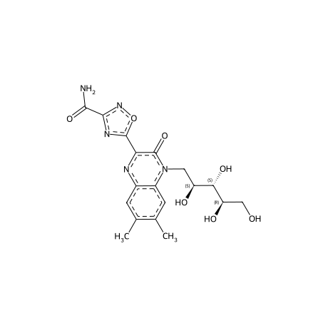 Cc1cc2nc(-c3nc(C(N)=O)no3)c(=O)n(C[C@H](O)[C@H](O)[C@H](O)CO)c2cc1C